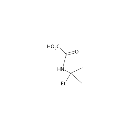 CCC(C)(C)NC(=O)C(=O)O